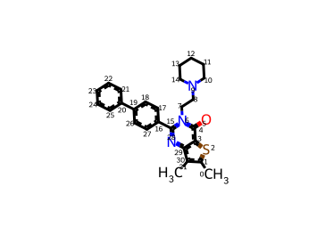 Cc1sc2c(=O)n(CCN3CCCCC3)c(-c3ccc(-c4ccccc4)cc3)nc2c1C